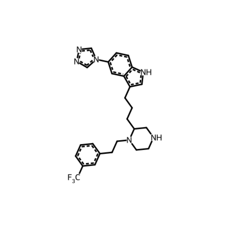 FC(F)(F)c1cccc(CCN2CCNCC2CCCc2c[nH]c3ccc(-n4cnnc4)cc23)c1